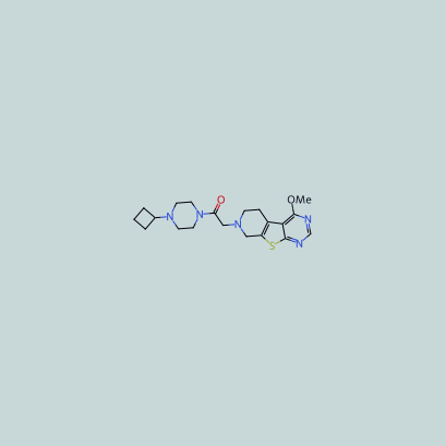 COc1ncnc2sc3c(c12)CCN(CC(=O)N1CCN(C2CCC2)CC1)C3